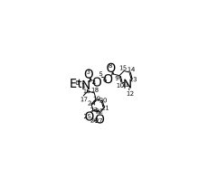 CCN(C(=O)OCOC(=O)C1=CN(C)C=CC1)C(C)Cc1ccc2c(c1)OCO2